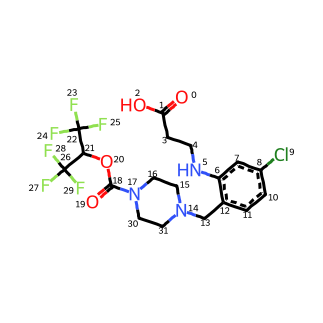 O=C(O)CCNc1cc(Cl)ccc1CN1CCN(C(=O)OC(C(F)(F)F)C(F)(F)F)CC1